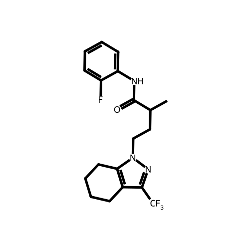 CC(CCn1nc(C(F)(F)F)c2c1CCCC2)C(=O)Nc1ccccc1F